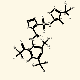 [2H]c1c(C([2H])([2H])[2H])cc(C([2H])([2H])[2H])c(NC(=O)c2sccc2S(=O)(=O)Nc2onc(C([2H])([2H])[2H])c2C)c1C(=O)C([2H])([2H])[2H]